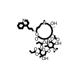 CCC(=O)O[C@@H]1CC(=O)O[C@H](C/C=C/c2ccnc3ccccc23)/C=C/CN(C)C[C@H](O)[C@H](C)C[C@H](CC=O)[C@H](O[C@@H]2OC(C)[C@@H](O[C@H]3CC(C)(O)[C@@H](OC(=O)CC)C(C)O3)C(N(C)C)C2O)[C@H]1OC